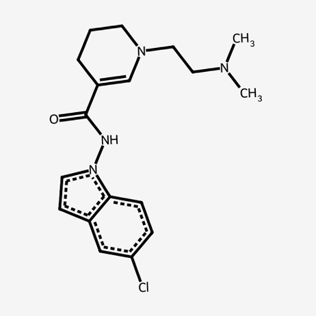 CN(C)CCN1C=C(C(=O)Nn2ccc3cc(Cl)ccc32)CCC1